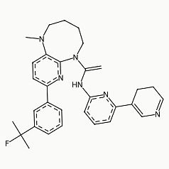 C=C(Nc1cccc(C2=CN=CCC2)n1)N1CCCCN(C)c2ccc(-c3cccc(C(C)(C)F)c3)nc21